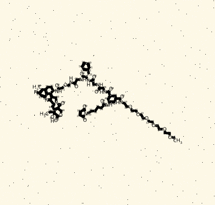 CCOCCOCCOCCOCCOCCOCCNC(=O)c1cc(NC(=O)CCCCCN2C(=O)C=CC2=O)cc(C(=O)NCC(=O)NCC(=O)N[C@@H](Cc2ccccc2)C(=O)NCC(=O)NCOCC(=O)N[C@H]2CCc3c(C)c(F)cc4nc5c(c2c34)Cn2c-5cc3c(c2=O)COC(=O)[C@]3(O)CC)c1